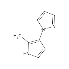 Cc1[nH]ccc1[N+]1C=CC=N1